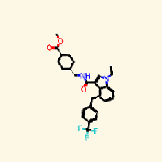 CCn1cc(C(=O)NC[C@H]2CC[C@H](C(=O)OC)CC2)c2c(Cc3ccc(C(F)(F)F)cc3)cccc21